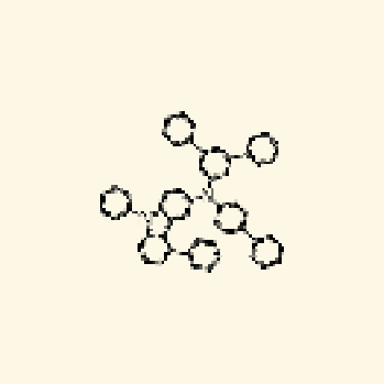 c1ccc(-c2ccc(N(c3cc(-c4ccccc4)cc(-c4ccccc4)c3)c3ccc4c(c3)c3c(-c5ccccc5)cccc3n4-c3ccccc3)cc2)cc1